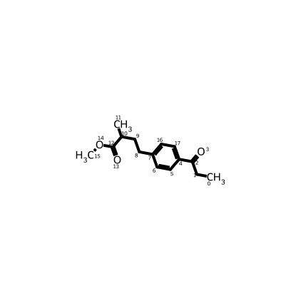 CCC(=O)c1ccc(CCC(C)C(=O)OC)cc1